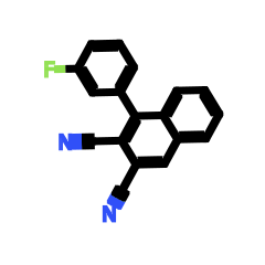 N#Cc1cc2ccccc2c(-c2cccc(F)c2)c1C#N